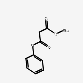 CC(C)(C)OC(=O)CC(=O)Oc1ccccc1